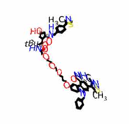 Cc1ncsc1-c1ccc(CNC(=O)[C@@H]2C[C@@H](O)CC2C(=O)[C@@H](NC(=O)COCCOCCOCCCCOc2ccc3c(c2)C2C(=CC(c4c(C)nsc4C)=CC2C(N)=O)N3Cc2ccccc2)C(C)(C)C)cc1